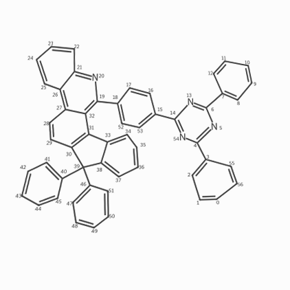 c1ccc(-c2nc(-c3ccccc3)nc(-c3ccc(-c4nc5ccccc5c5ccc6c(c45)-c4ccccc4C6(c4ccccc4)c4ccccc4)cc3)n2)cc1